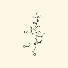 Cc1ccc(N(CCCl)CCCl)cc1C(C)(CNC(=O)OC(C)(C)C)CC(=O)O